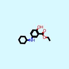 CCOC(=O)c1cc(NC2CCCCC2)ccc1O